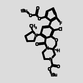 C[C@@H]1CCCN1c1cc(-c2c(F)cccc2OC(=O)OC(C)(C)C)c(Cl)c2c1C(=O)N1CCN(C(=O)OC(C)(C)C)C[C@@H]1CO2